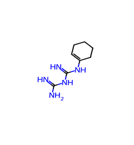 N=C(N)NC(=N)NC1=CCCCC1